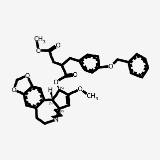 COC(=O)CC(Cc1ccc(OCc2ccccc2)cc1)C(=O)O[C@@H]1C(OC)=C[C@]23CCCN2CCc2cc4c(cc2[C@H]13)OCO4